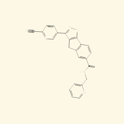 N#Cc1ccc(-c2n[nH]c3c2Cc2cc(C(=O)NCc4ccccn4)ccc2-3)cn1